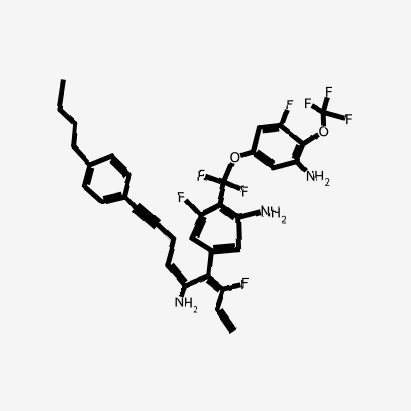 C=C/C(F)=C(\C(N)=C/CC#Cc1ccc(CCCC)cc1)c1cc(N)c(C(F)(F)Oc2cc(N)c(OC(F)(F)F)c(F)c2)c(F)c1